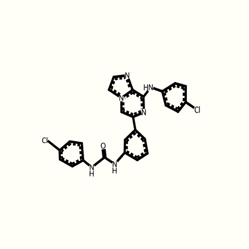 O=C(Nc1ccc(Cl)cc1)Nc1cccc(-c2cn3ccnc3c(Nc3ccc(Cl)cc3)n2)c1